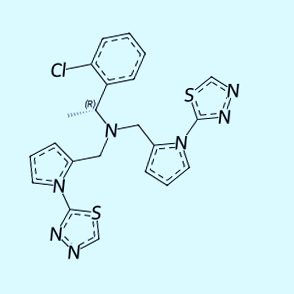 C[C@H](c1ccccc1Cl)N(Cc1cccn1-c1nncs1)Cc1cccn1-c1nncs1